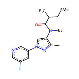 CCN(C(=O)C(CSC)C(F)(F)F)c1cn(-c2cncc(F)c2)nc1C